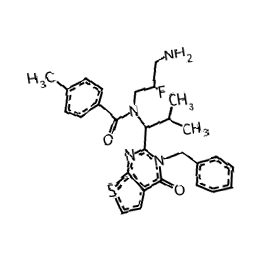 Cc1ccc(C(=O)N(C[C@@H](F)CN)C(c2nc3sccc3c(=O)n2Cc2ccccc2)C(C)C)cc1